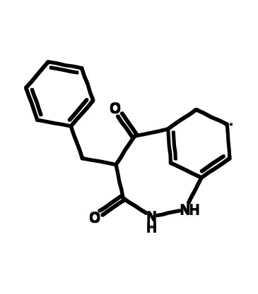 O=C1NNC2=C[CH]CC(=C2)C(=O)C1Cc1ccccc1